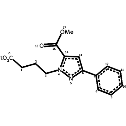 CCOC(=O)CCCn1nc(-c2ccccc2)cc1C(=O)OC